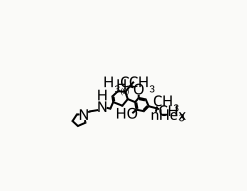 CCCCCCC(C)(C)c1cc(O)c2c(c1)OC(C)(C)[C@H]1CC=C(CNCCN3CCCC3)CC21